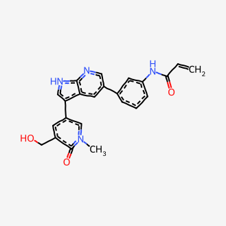 C=CC(=O)Nc1cccc(-c2cnc3[nH]cc(-c4cc(CO)c(=O)n(C)c4)c3c2)c1